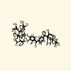 Cc1c(COC(=O)C(C(C)C)N(N)C(=O)C(C(=O)OC(C)(C)C)C(C)C)cccc1C(C)c1cn(C(=O)C(NC(=O)OC(C)(C)C)C(C)C)cn1